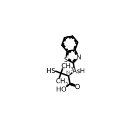 CC(C)(S)[C@@H]([AsH]c1nc2ccccc2s1)C(=O)O